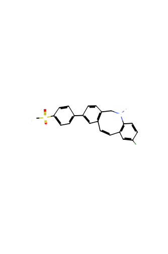 CC(=O)N1Cc2ccc(-c3ccc(S(C)(=O)=O)cc3)cc2C=Cc2cc(Cl)ccc21